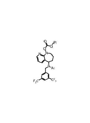 CC(=O)N(Cc1cc(C(F)(F)F)cc(C(F)(F)F)c1)C1CCCN(OC(=O)OC(C)C)c2ncccc21